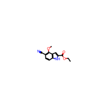 CCOC(=O)c1cc2c(OC)c(C#N)ccc2[nH]1